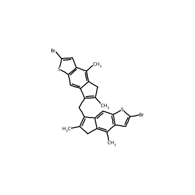 CC1=C(CC2=C(C)Cc3c2cc2sc(Br)cc2c3C)c2cc3sc(Br)cc3c(C)c2C1